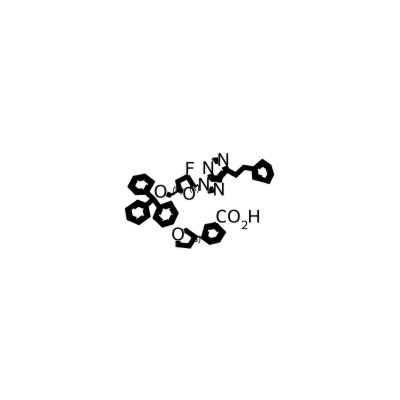 FC1C[C@H](COC(c2ccccc2)(c2ccccc2)c2ccccc2)O[C@H]1n1cnc2c(CCc3ccccc3)ncnc21.O=C(O)c1cccc([C@@H]2CCOC2)c1